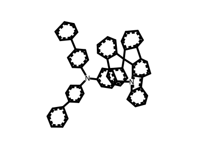 c1ccc(-c2ccc(N(c3ccc(-c4ccccc4)cc3)c3ccc(-n4c5ccccc5c5ccc6c(c54)C4(c5ccccc5-c5ccccc54)c4ccccc4-6)cc3)cc2)cc1